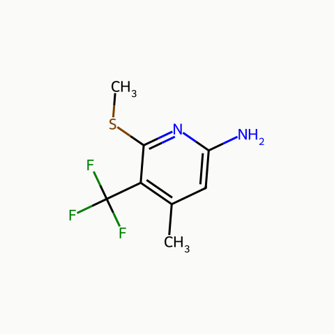 CSc1nc(N)cc(C)c1C(F)(F)F